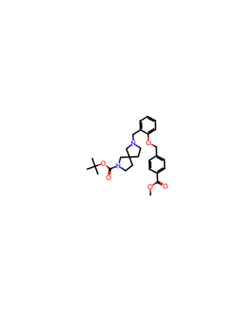 COC(=O)c1ccc(COc2ccccc2CN2CCC3(CCN(C(=O)OC(C)(C)C)C3)C2)cc1